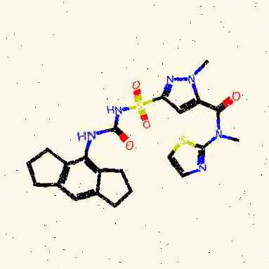 CN(C(=O)c1cc(S(=O)(=O)NC(=O)Nc2c3c(cc4c2CCC4)CCC3)nn1C)c1nccs1